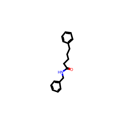 O=C(CCCCc1ccccc1)NCc1ccccc1